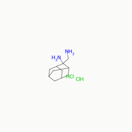 Cl.Cl.NCC1(N)C2CC3CC(C2)CC1C3